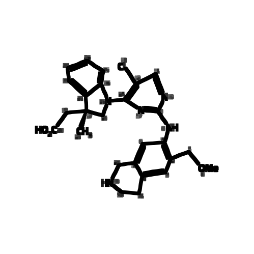 COCc1cc2c(cc1Nc1ncc(Cl)c(N3C[C@](C)(CC(=O)O)c4ccccc43)n1)CNCC2